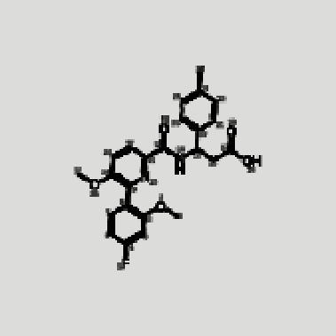 COc1cc(F)ccc1-c1nc(C(=O)NC(CC(=O)O)c2ccc(C)cc2)ccc1OC